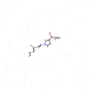 C=C/C=C(\C)C#Cn1ccc(C(=O)OC)c1